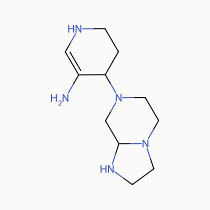 NC1=CNCCC1N1CCN2CCNC2C1